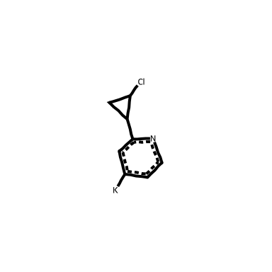 ClC1CC1c1c[c]([K])ccn1